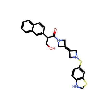 O=C(C(CO)c1ccc2ccccc2c1)N1CC(=C2CN(Sc3ccc4c(c3)SCN4)C2)C1